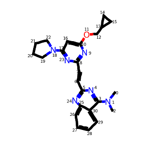 CN(C)c1nc(C=Cc2nc(OCC3CC3)cc(N3CCCC3)n2)nc2ccccc12